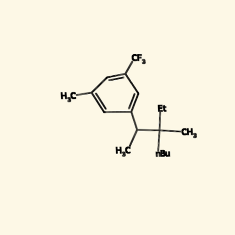 CCCCC(C)(CC)C(C)c1cc(C)cc(C(F)(F)F)c1